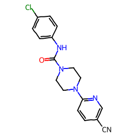 N#Cc1ccc(N2CCN(C(=O)Nc3ccc(Cl)cc3)CC2)nc1